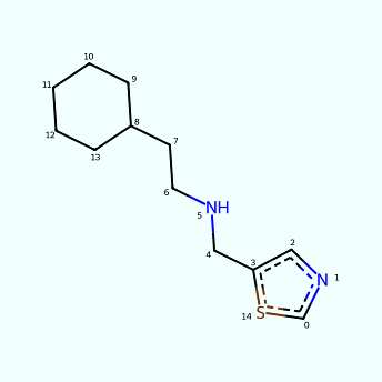 c1ncc(CNCCC2CCCCC2)s1